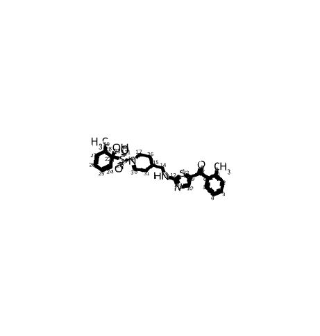 Cc1ccccc1C(=O)c1cnc(NCC2CCN(S(=O)(=O)C3(O)C=CC=CC3C)CC2)s1